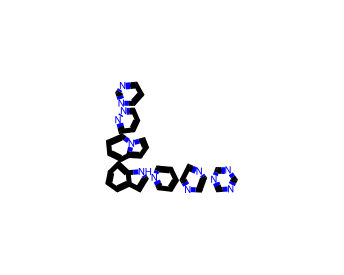 c1ccc2[nH]ccc2c1.c1ccn2cccc2c1.c1ccncc1.c1ccnnc1.c1cnccn1.c1cncnc1.c1ncncn1